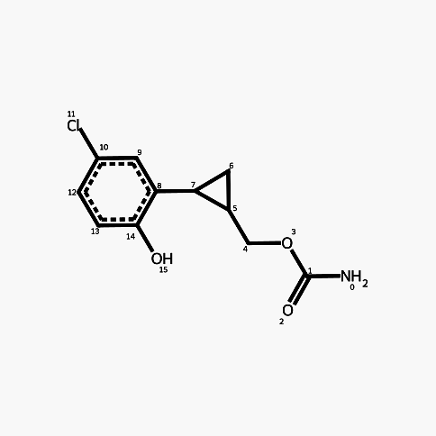 NC(=O)OCC1CC1c1cc(Cl)ccc1O